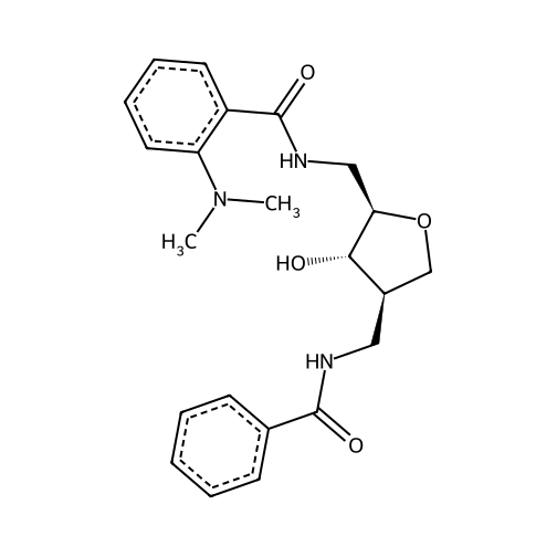 CN(C)c1ccccc1C(=O)NC[C@H]1OC[C@@H](CNC(=O)c2ccccc2)[C@@H]1O